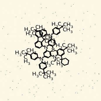 CCN1c2cc(N(c3ccc(C(C)(C)C)cc3)c3ccc(C(C)(C)C)cc3)cc3c2B(c2ccc(N(c4ccc(C(C)(C)C)cc4)c4ccc(C(C)(C)C)cc4)cc2N3c2cccc3c2C(C)(C)c2ccccc2-3)c2cc(C(C)(C)C)cc(C3(C)CCCCC3)c21